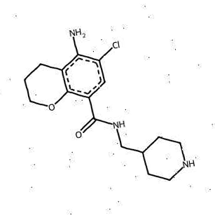 Nc1c(Cl)cc(C(=O)NCC2CCNCC2)c2c1CCCO2